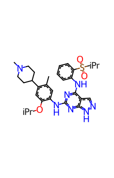 Cc1cc(Nc2nc(Nc3ccccc3S(=O)(=O)C(C)C)c3cn[nH]c3n2)c(OC(C)C)cc1C1CCN(C)CC1